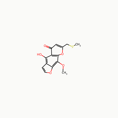 COc1c2occc2c(O)c2c(=O)cc(CSC)oc12